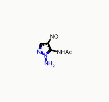 CC(=O)Nc1c(N=O)cnn1N